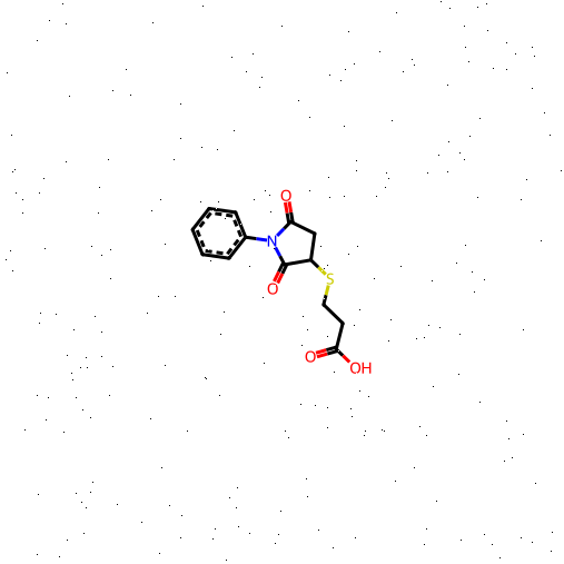 O=C(O)CCSC1CC(=O)N(c2ccccc2)C1=O